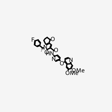 COc1cc2nccc(Oc3ccc(NC(=O)c4cc5c(n([C@H](C)c6ccc(F)cc6)c4=O)CCCC5=O)nc3)c2cc1OC